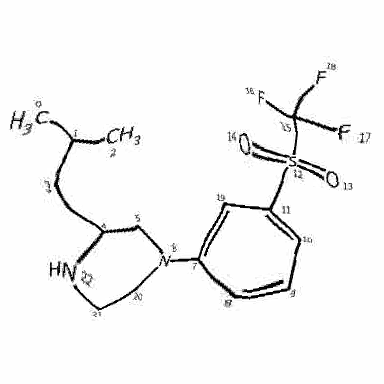 CC(C)CC1CN(c2cccc(S(=O)(=O)C(F)(F)F)c2)CCN1